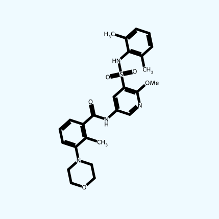 COc1ncc(NC(=O)c2cccc(N3CCOCC3)c2C)cc1S(=O)(=O)Nc1c(C)cccc1C